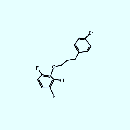 Fc1ccc(F)c(OCCCc2ccc(Br)cc2)c1Cl